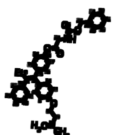 CC/C(=C(/c1ccc(OCCN(C)C)cc1)c1ccc(OC(=O)CNC(=O)OCc2ccccc2)cc1)c1ccccc1